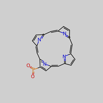 O=P(=O)C1=CC2=CC3=NC(=CC4=NC(=CC5=NC(=CC1=N2)C=C5)C=C4)C=C3